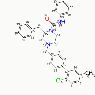 Cc1ccc(Cl)c(-c2ccc(CN3CCN(C(=O)Nc4ccccc4)C(Cc4ccccc4)C3)cc2)c1